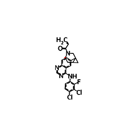 C=CC(=O)N1CCC2CC2(c2ccc3ncnc(Nc4ccc(Cl)c(Cl)c4F)c3c2)C1